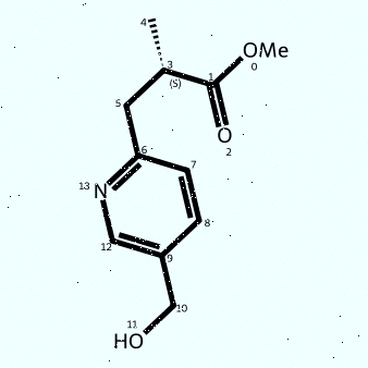 COC(=O)[C@@H](C)Cc1ccc(CO)cn1